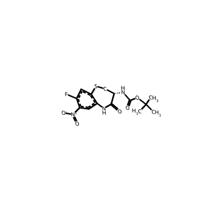 CC(C)(C)OC(=O)N[C@H]1CSc2cc(F)c([N+](=O)[O-])cc2NC1=O